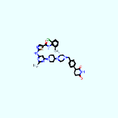 Cc1nc(Nc2ncc(C(=O)Nc3c(C)cccc3Cl)s2)cc(N2CCC(N3CCN(Cc4ccc(C5CCC(=O)NC5=O)cc4)CC3)CC2)n1